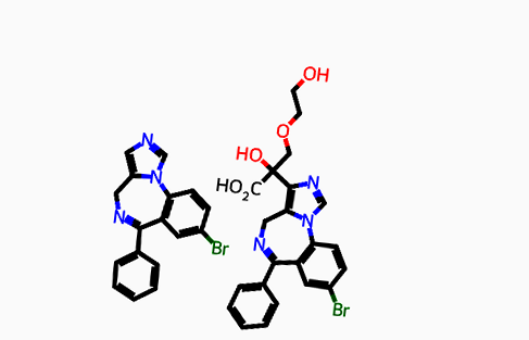 Brc1ccc2c(c1)C(c1ccccc1)=NCc1cncn1-2.O=C(O)C(O)(COCCO)c1ncn2c1CN=C(c1ccccc1)c1cc(Br)ccc1-2